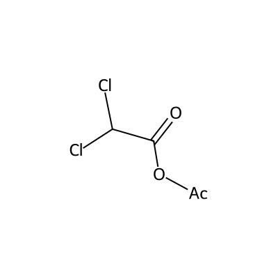 [CH2]C(=O)OC(=O)C(Cl)Cl